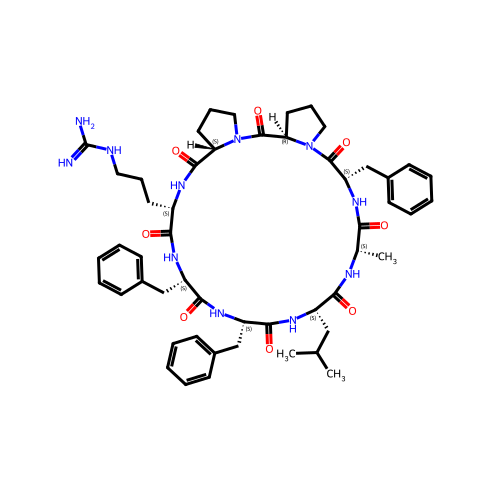 CC(C)C[C@@H]1NC(=O)[C@H](Cc2ccccc2)NC(=O)[C@H](Cc2ccccc2)NC(=O)[C@H](CCCNC(=N)N)NC(=O)[C@@H]2CCCN2C(=O)[C@H]2CCCN2C(=O)[C@H](Cc2ccccc2)NC(=O)[C@H](C)NC1=O